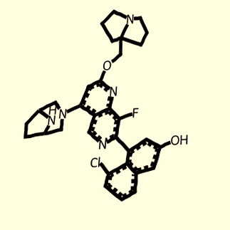 Oc1cc(-c2ncc3c(N4CC5CCC(C4)N5)cc(OCC45CCCN4CCC5)nc3c2F)c2c(Cl)cccc2c1